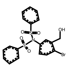 O=S(=O)(c1ccccc1)N(c1ccc(Br)c(CO)c1)S(=O)(=O)c1ccccc1